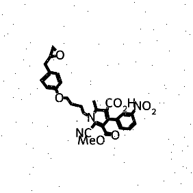 COC(=O)C1=C(C#N)N(CCCCOc2ccc(CC3CO3)cc2)C(C)C(C(=O)O)=C1c1cccc([N+](=O)[O-])c1